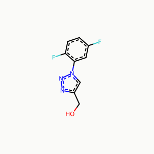 OCc1cn(-c2cc(F)ccc2F)nn1